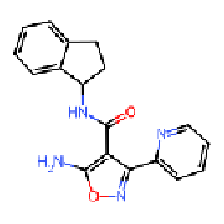 Nc1onc(-c2ccccn2)c1C(=O)NC1CCc2ccccc21